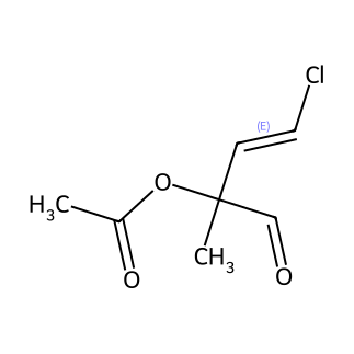 CC(=O)OC(C)(C=O)/C=C/Cl